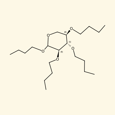 CCCCOC1OC[C@@H](OCCCC)[C@H](OCCCC)[C@H]1OCCCC